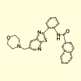 O=C(Nc1ccccc1-c1nc2cc(CN3CCOCC3)cnc2s1)c1ccc2ccccc2c1